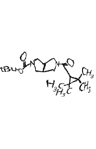 CC(C)(C)OC(=O)N1CC2CN(C(=O)C3C(C)(C)C3(C)C)CC2C1